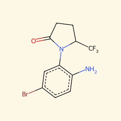 Nc1ccc(Br)cc1N1C(=O)CCC1C(F)(F)F